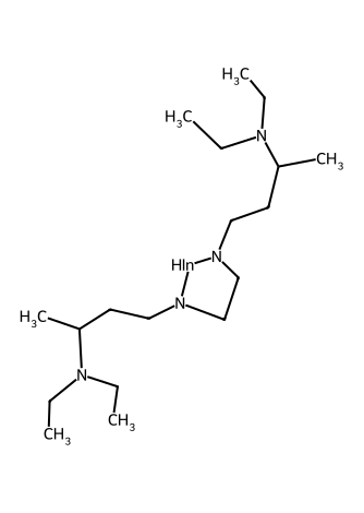 CCN(CC)C(C)CC[N]1CC[N](CCC(C)N(CC)CC)[InH]1